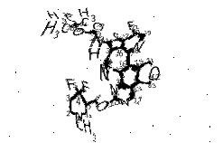 CN1CCC(F)(F)C(COc2ncc3c4c(c(-c5ncc(F)c6sc(NC(=O)OC(C)(C)C)c(C#N)c56)c(F)c3n2)COC4)C1